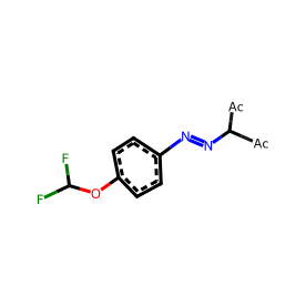 CC(=O)C(/N=N/c1ccc(OC(F)F)cc1)C(C)=O